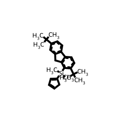 CC(C)(C)c1ccc2c(c1)Cc1c-2ccc(C(C)(C)C)c1[Si](C)(C)C1=CC=CC1